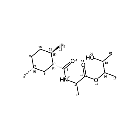 CC(NC(=O)[C@@H]1C[C@H](C)CC[C@H]1C(C)C)C(=O)OC(C)C(C)O